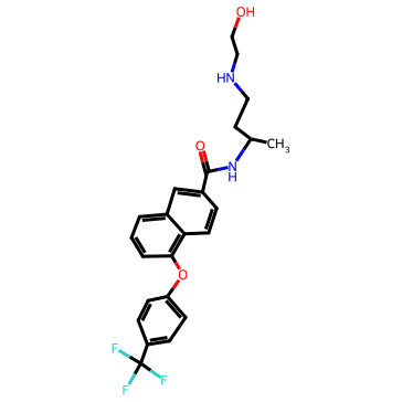 CC(CCNCCO)NC(=O)c1ccc2c(Oc3ccc(C(F)(F)F)cc3)cccc2c1